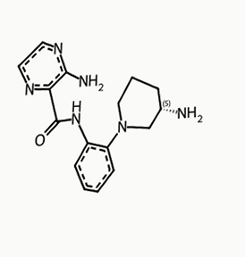 Nc1nccnc1C(=O)Nc1ccccc1N1CCC[C@H](N)C1